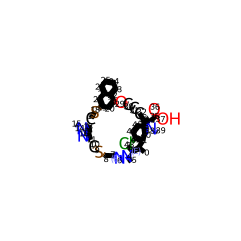 C/C1=C(/C)N(C)/N=C/CSCc2cc(n(C)n2)CSc2cc(c3ccccc3c2)OCCCc2c(C(=O)O)n(C)c3c1c(Cl)ccc23